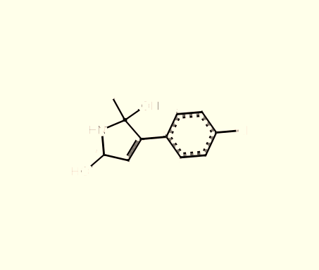 CC1(O)NC(O)C=C1c1ccc(Cl)cc1